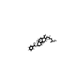 CC(C)[C@@H](C)CC[C@@H](C)[C@H]1CC=C2C3=CC[C@H]4C[C@@H](OC(=O)c5ccccc5)CC[C@]4(C)[C@H]3CC[C@@]21C